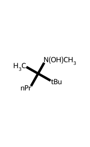 CCCC(C)(N(C)O)C(C)(C)C